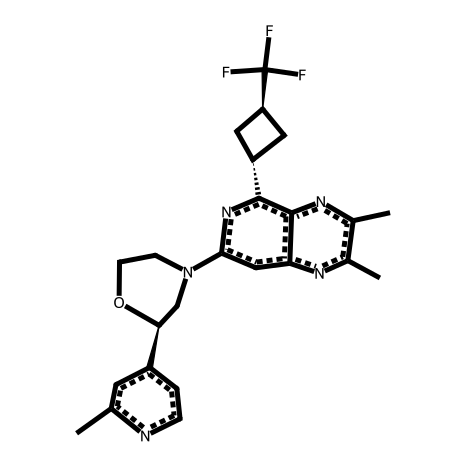 Cc1cc([C@@H]2CN(c3cc4nc(C)c(C)nc4c([C@H]4C[C@H](C(F)(F)F)C4)n3)CCO2)ccn1